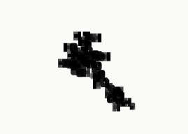 CSC[C@H](NC(=O)C(CC(=O)O)NC(=O)[C@H](CC(=O)O)NC(=O)C(CCCNC(=N)N)NC(=O)[C@H](CC(=O)O)NC(=O)CC[C@@H](C)NC(=O)c1ccc(NCc2cnc3nc(N)[nH]c(=O)c3n2)cc1)C(=O)O